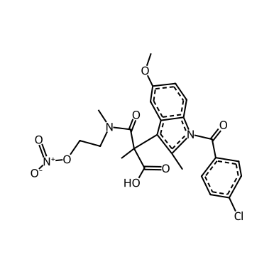 COc1ccc2c(c1)c(C(C)(C(=O)O)C(=O)N(C)CCO[N+](=O)[O-])c(C)n2C(=O)c1ccc(Cl)cc1